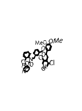 COc1ccc(C(Cc2c(Cl)c[n+]([O-])cc2Cl)OC(=O)c2cccc(CN(C(=O)O[C@H]3CN4CCC3CC4)c3ccccc3Cl)c2)cc1OC